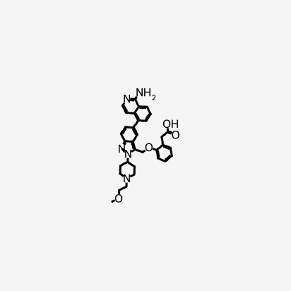 COCCN1CCC(n2nc3ccc(-c4cccc5c(N)nccc45)cc3c2COc2ccccc2CC(=O)O)CC1